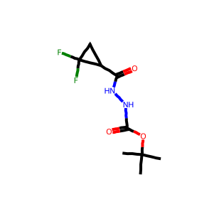 CC(C)(C)OC(=O)NNC(=O)C1CC1(F)F